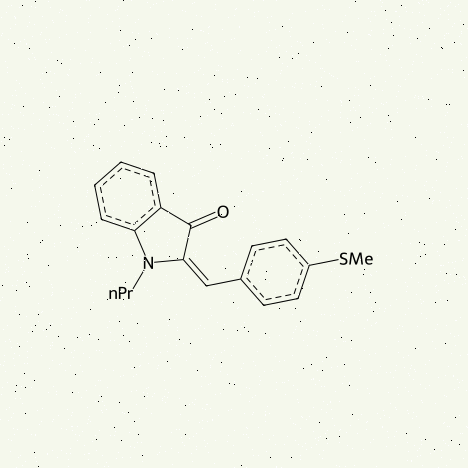 CCCN1/C(=C/c2ccc(SC)cc2)C(=O)c2ccccc21